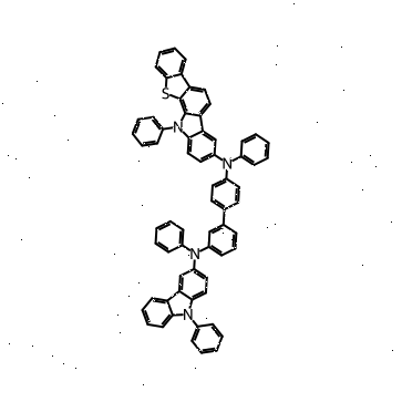 c1ccc(N(c2cccc(-c3ccc(N(c4ccccc4)c4ccc5c(c4)c4ccc6c7ccccc7sc6c4n5-c4ccccc4)cc3)c2)c2ccc3c(c2)c2ccccc2n3-c2ccccc2)cc1